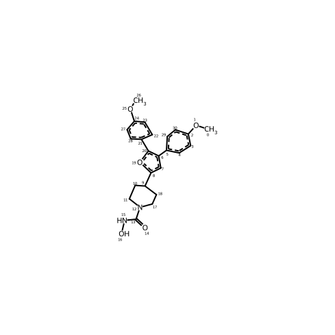 COc1ccc(-c2cc(C3CCN(C(=O)NO)CC3)oc2-c2ccc(OC)cc2)cc1